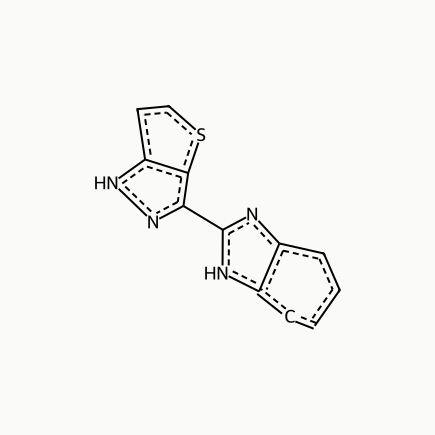 c1ccc2[nH]c(-c3n[nH]c4ccsc34)nc2c1